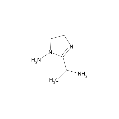 CC(N)C1=NCCN1N